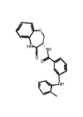 Cc1ccccc1Nc1cccc(C(=O)N[C@H]2COc3ccccc3NC2=O)c1